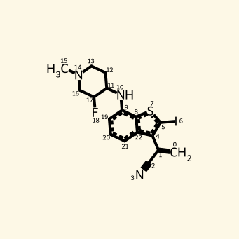 C=C(C#N)c1c(I)sc2c(NC3CCN(C)CC3F)cccc12